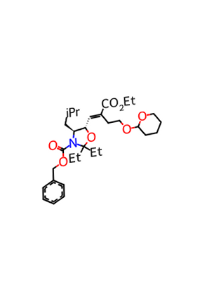 CCOC(=O)C(=C[C@@H]1OC(CC)(CC)N(C(=O)OCc2ccccc2)[C@H]1CC(C)C)CCOC1CCCCO1